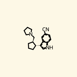 N#Cc1ccc2[nH]cc([C@@H]3CCC[C@H]3CN3CCCC3)c2c1